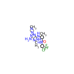 C=C/N=C1/C(N)=NC(N2CCN(C)CC2)=N/C1=C(/N)Nc1cc(C(=O)Nc2ccc(Cl)c(C(F)(F)F)c2)ccc1C